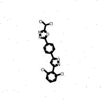 Clc1cccc(Cl)c1-c1cc(-c2ccc(-c3nnc(C(Cl)Cl)o3)cc2)on1